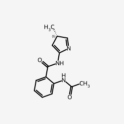 CC(=O)Nc1ccccc1C(=O)NC1=C[C@H](C)C=N1